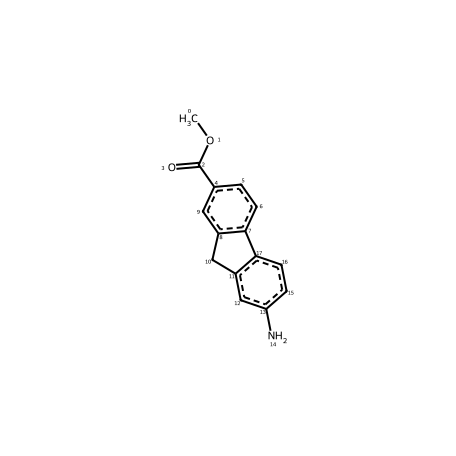 COC(=O)c1ccc2c(c1)Cc1cc(N)ccc1-2